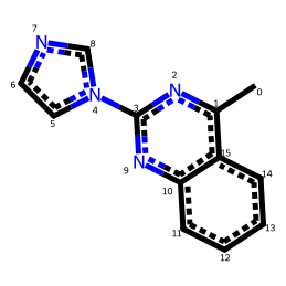 Cc1nc(-n2ccnc2)nc2ccccc12